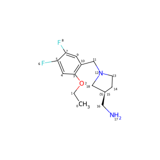 CCOc1cc(F)c(F)cc1CN1CC[C@@H](CN)C1